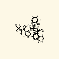 CCc1c(O)cccc1C(=O)[C@@H](Cc1ccccc1)[C@](N)(O)C(=O)N1CSC[C@H]1C(=O)NC(C)(C)C